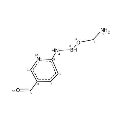 NCOBNc1ccc(C=O)cn1